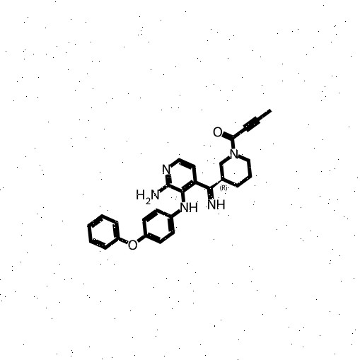 CC#CC(=O)N1CCC[C@@H](C(=N)c2ccnc(N)c2Nc2ccc(Oc3ccccc3)cc2)C1